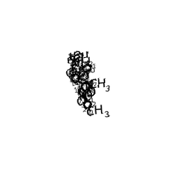 Cc1ccc(S(=O)(=O)n2ccc3c(-c4ccc5oc(CNC(=O)OC(C)(C)C)nc5c4Oc4ccccc4)cn(C)c(=O)c32)cc1